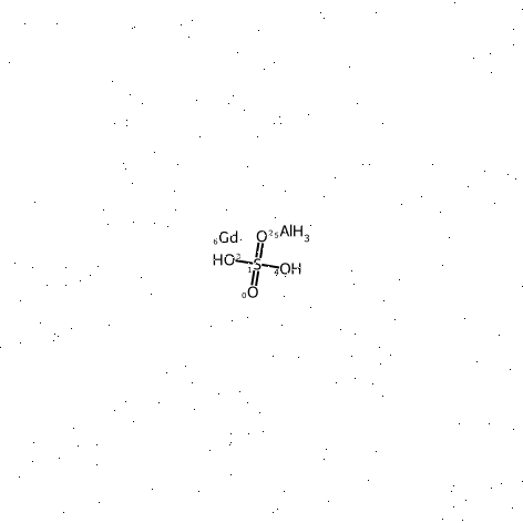 O=S(=O)(O)O.[AlH3].[Gd]